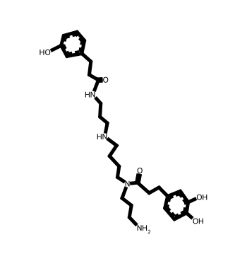 NCCCN(CCCCNCCCNC(=O)CCc1cccc(O)c1)C(=O)CCc1ccc(O)c(O)c1